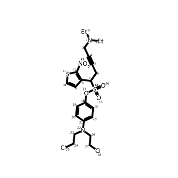 CCN(CC)CC#CCC(c1ccsc1[N+](=O)[O-])S(=O)(=O)Oc1ccc(N(CCCl)CCCl)cc1